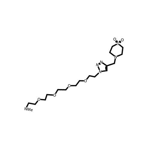 CNCCOCCOCCOCCOCCn1cc(CN2CCS(=O)(=O)CC2)nn1